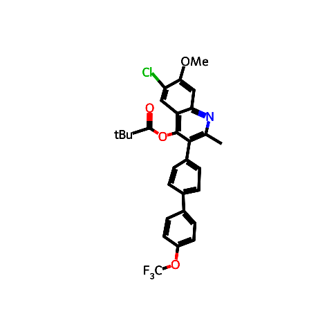 COc1cc2nc(C)c(-c3ccc(-c4ccc(OC(F)(F)F)cc4)cc3)c(OC(=O)C(C)(C)C)c2cc1Cl